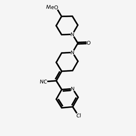 COC1CCN(C(=O)N2CCC(=C(C#N)c3ccc(Cl)cn3)CC2)CC1